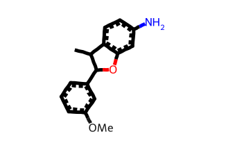 COc1cccc(C2Oc3cc(N)ccc3C2C)c1